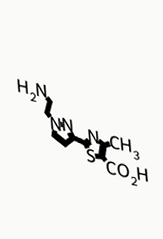 Cc1nc(-c2ccn(CCN)n2)sc1C(=O)O